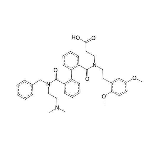 COc1ccc(OC)c(CCN(CCC(=O)O)C(=O)c2ccccc2-c2ccccc2C(=O)N(CCN(C)C)Cc2ccccc2)c1